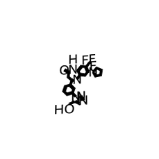 O=C1CC(c2cccc(-n3nncc3CO)c2)=Nc2cc(N3CCCC3)c(C(F)(F)F)cc2N1